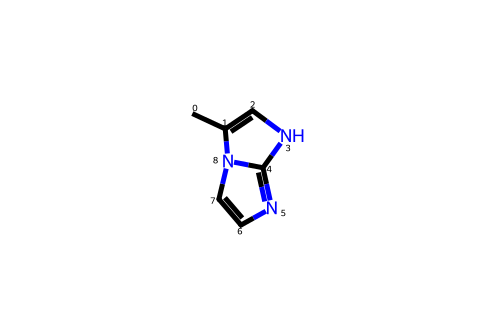 Cc1c[nH]c2nccn12